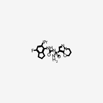 CC(C)c1cc(F)c2c(c1NC(=O)N=[S@](N)(=O)c1cnn3c1OCCC3)CCC2